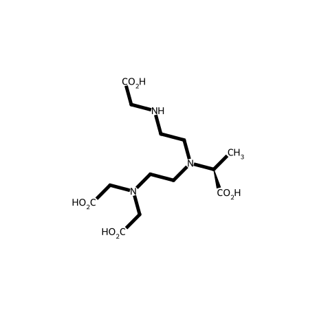 C[C@@H](C(=O)O)N(CCNCC(=O)O)CCN(CC(=O)O)CC(=O)O